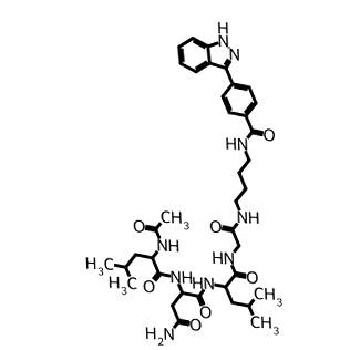 CC(=O)NC(CC(C)C)C(=O)NC(CC(N)=O)C(=O)NC(CC(C)C)C(=O)NCC(=O)NCCCCNC(=O)c1ccc(-c2n[nH]c3ccccc23)cc1